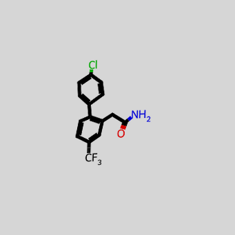 NC(=O)Cc1cc(C(F)(F)F)ccc1-c1ccc(Cl)cc1